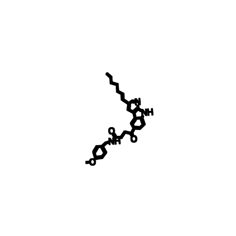 CCCCC/C=C/c1cnc2[nH]c3ccc(C(=O)CCC(=O)NCc4ccc(OC)cc4)cc3c2c1